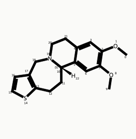 COc1cc2c(cc1OC)[C@@H]1CCc3sccc3CN1CC2